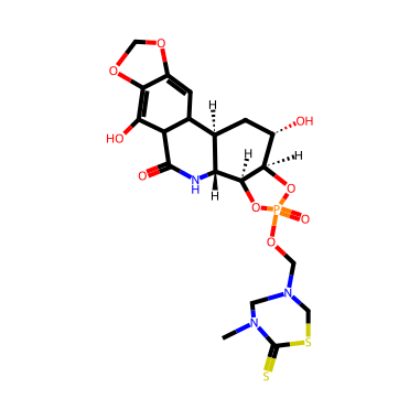 CN1CN(COP2(=O)O[C@H]3[C@@H]4NC(=O)C5C(O)=C6OCOC6=CC5[C@H]4C[C@H](O)[C@H]3O2)CSC1=S